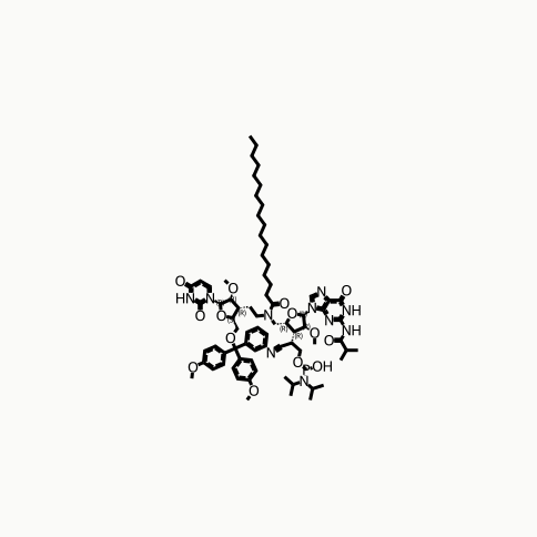 CCCCCCCCCCCCCCCCCC(=O)N(CC[C@H]1[C@@H](OC)[C@H](n2ccc(=O)[nH]c2=O)O[C@@H]1COC(c1ccccc1)(c1ccc(OC)cc1)c1ccc(OC)cc1)C[C@@H]1O[C@@H](n2cnc3c(=O)[nH]c(NC(=O)C(C)C)nc32)[C@H](OC)[C@@H]1C(C#N)COP(O)N(C(C)C)C(C)C